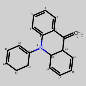 C=C1c2ccccc2N(C2=CC=CCC2)C2C=CC=CC12